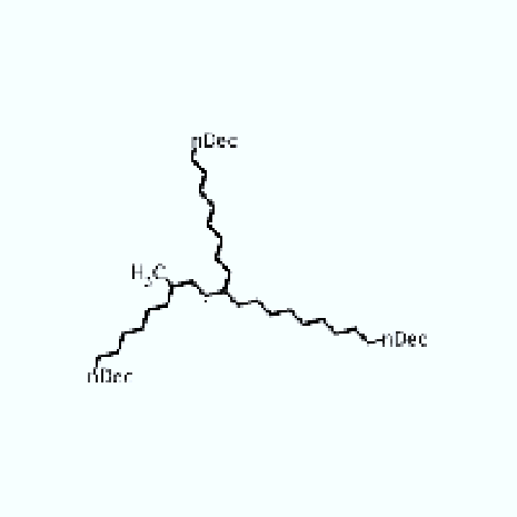 CCCCCCCCCCCCCCCCCCCC([CH]CC(C)CCCCCCCCCCCCCCCC)CCCCCCCCCCCCCCCCCC